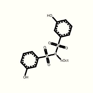 CCCCCCCCN(S(=O)(=O)c1cccc(O)c1)S(=O)(=O)c1cccc(O)c1